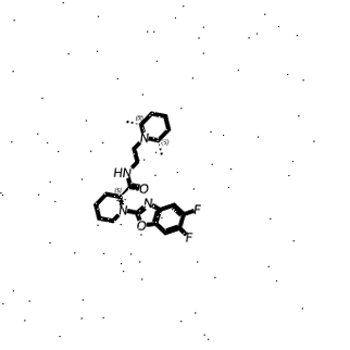 C[C@@H]1CCC[C@H](C)N1CCNC(=O)[C@@H]1CCCCN1c1nc2cc(F)c(F)cc2o1